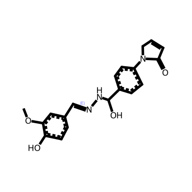 COc1cc(/C=N/NC(O)c2ccc(N3CC=CC3=O)cc2)ccc1O